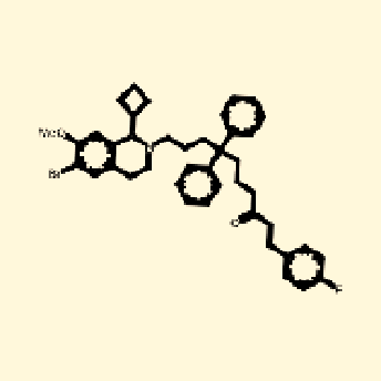 COc1cc2c(cc1Br)CCN(CCCC(CCCC(=O)CCc1ccc(F)cc1)(c1ccccc1)c1ccccc1)C2C1CCC1